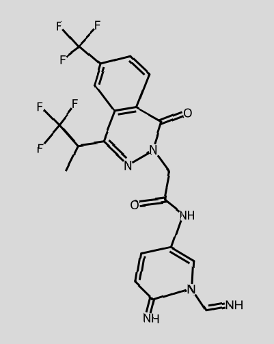 CC(c1nn(CC(=O)Nc2ccc(=N)n(C=N)c2)c(=O)c2ccc(C(F)(F)F)cc12)C(F)(F)F